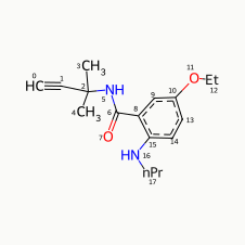 C#CC(C)(C)NC(=O)c1cc(OCC)ccc1NCCC